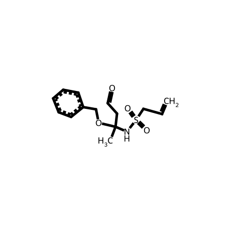 C=CCS(=O)(=O)NC(C)(CC=O)OCc1ccccc1